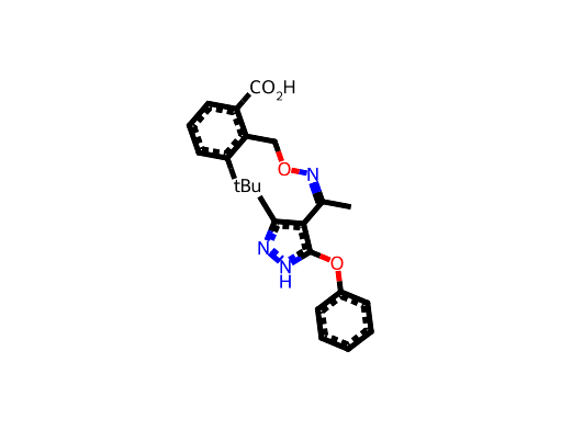 CC(=NOCc1c(C(=O)O)cccc1C(C)(C)C)c1c(C)n[nH]c1Oc1ccccc1